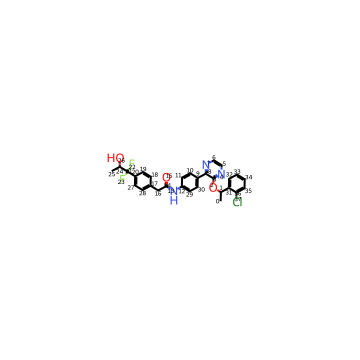 CC(Oc1nccnc1-c1ccc(NC(=O)Cc2ccc(C(F)(F)C(C)O)cc2)cc1)c1ccccc1Cl